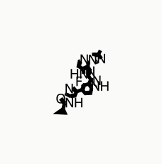 Cc1cn(-c2nccc3[nH]c(-c4n[nH]c5ccc(-c6cncc(NC(=O)C7CC7)c6)c(F)c45)nc23)cn1